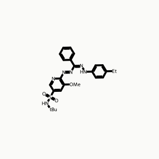 CCc1ccc(NN=C(N=Nc2ncc(S(=O)(=O)NC(C)(C)C)cc2OC)c2ccccc2)cc1